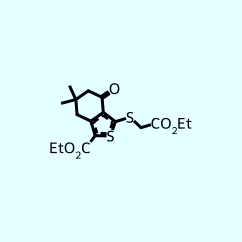 CCOC(=O)CSc1sc(C(=O)OCC)c2c1C(=O)CC(C)(C)C2